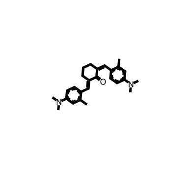 Cc1cc(N(C)C)ccc1C=C1CCCC(=Cc2ccc(N(C)C)cc2C)C1=O